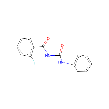 O=C(NC(=O)c1ccccc1F)Nc1ccccc1